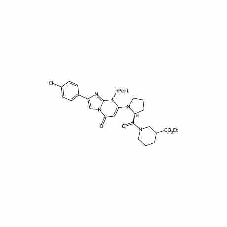 CCCCCn1c(N2CCC[C@H]2C(=O)N2CCCC(C(=O)OCC)C2)cc(=O)n2cc(-c3ccc(Cl)cc3)nc12